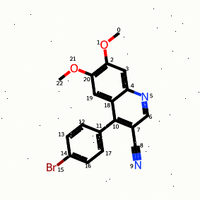 COc1cc2ncc(C#N)c(-c3ccc(Br)cc3)c2cc1OC